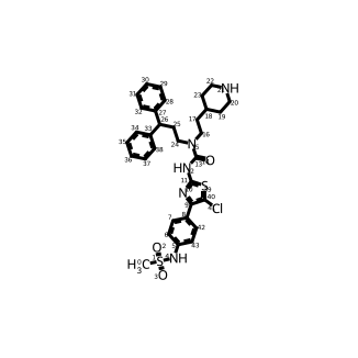 CS(=O)(=O)Nc1ccc(-c2nc(NC(=O)N(CCC3CCNCC3)CCC(c3ccccc3)c3ccccc3)sc2Cl)cc1